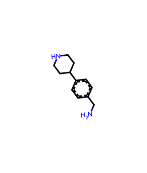 NCc1ccc(C2CCNCC2)cc1